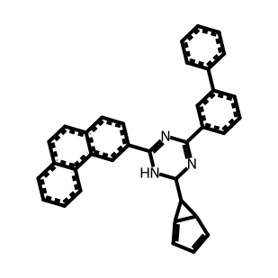 C1=CC2C(=C1)C2C1N=C(c2cccc(-c3ccccc3)c2)N=C(c2ccc3ccc4ccccc4c3c2)N1